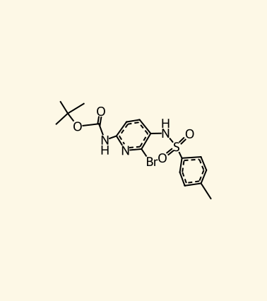 Cc1ccc(S(=O)(=O)Nc2ccc(NC(=O)OC(C)(C)C)nc2Br)cc1